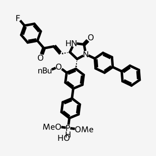 CCCCOc1cc(-c2ccc([PH](O)(OC)OC)cc2)ccc1[C@@H]1[C@H](/C=C/C(=O)c2ccc(F)cc2)NC(=O)N1c1ccc(-c2ccccc2)cc1